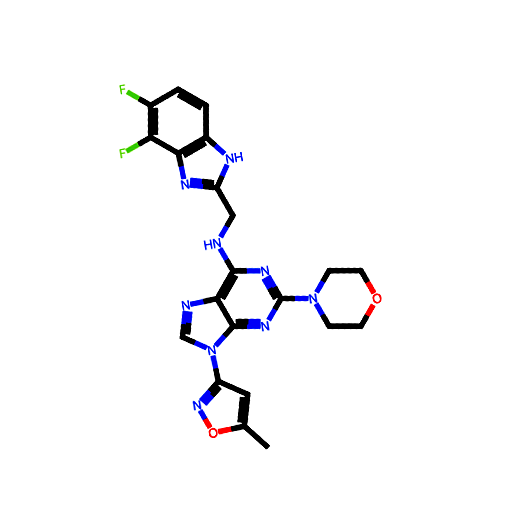 Cc1cc(-n2cnc3c(NCc4nc5c(F)c(F)ccc5[nH]4)nc(N4CCOCC4)nc32)no1